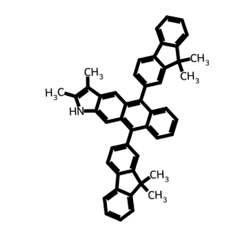 Cc1[nH]c2cc3c(-c4ccc5c(c4)C(C)(C)c4ccccc4-5)c4ccccc4c(-c4ccc5c(c4)C(C)(C)c4ccccc4-5)c3cc2c1C